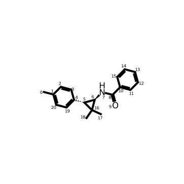 Cc1ccc([C@@H]2[C@@H](NC(=O)c3ccccc3)C2(C)C)cc1